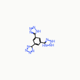 c1c(C2=NNNN2)cc(C2N=NN=N2)cc1-c1nnn[nH]1